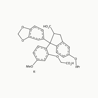 CCCOc1ccc2c(c1)CC(C(=O)O)C2(c1ccc2c(c1)OCO2)c1ccc(OC)cc1OCC(=O)O.[K]